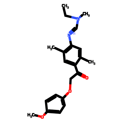 CCN(C)/C=N/c1cc(C)c(C(=O)COc2ccc(OC)cc2)cc1C